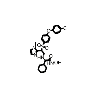 O=C(NO)[C@H](NCC(c1ncc[nH]1)S(=O)(=O)c1ccc(Oc2ccc(Cl)cc2)cc1)C1CCCCC1